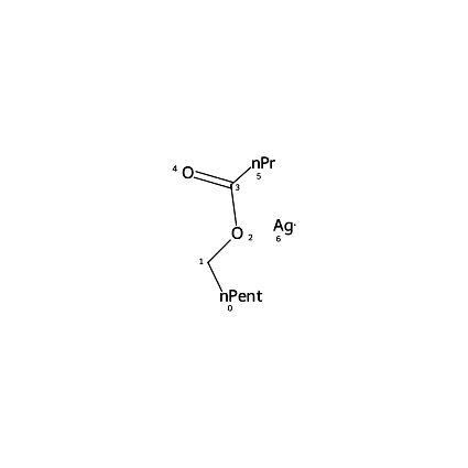 CCCCCCOC(=O)CCC.[Ag]